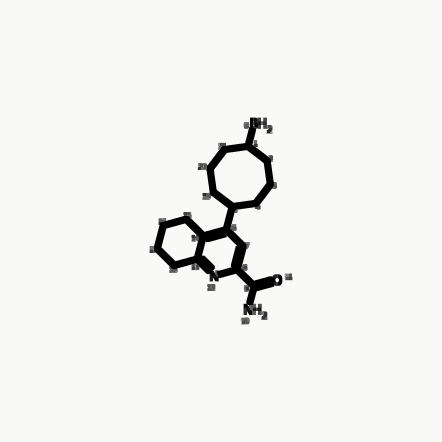 BC1CCCC(c2cc(C(N)=O)nc3c2CCCC3)CCC1